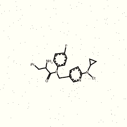 CCN(c1ccc(CN(C(=O)C(N)CC(C)C)c2ccc(F)cc2)cn1)C1CC1